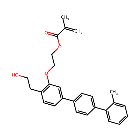 C=C(C)C(=O)OCCOc1cc(-c2ccc(-c3ccccc3C)cc2)ccc1CCO